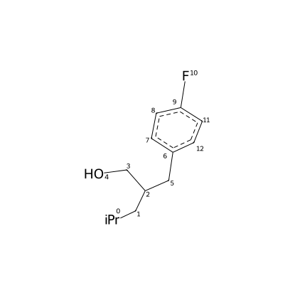 CC(C)CC(CO)Cc1ccc(F)cc1